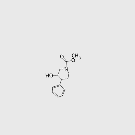 COC(=O)N1CCC(c2ccccc2)C(O)C1